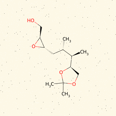 C[C@H]([C@@H](C)C[C@@H]1O[C@H]1CO)[C@H]1COC(C)(C)O1